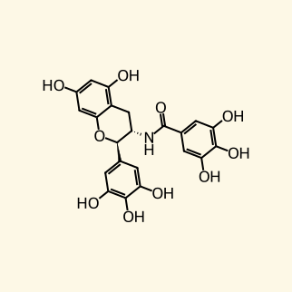 O=C(N[C@H]1Cc2c(O)cc(O)cc2O[C@@H]1c1cc(O)c(O)c(O)c1)c1cc(O)c(O)c(O)c1